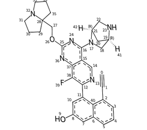 C#Cc1cccc2cc(O)cc(-c3ncc4c(N5C[C@H]6C[C@@H]5CN6)nc(OCC56CCCN5CCC6)nc4c3F)c12